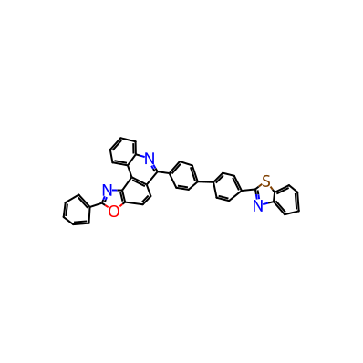 c1ccc(-c2nc3c(ccc4c(-c5ccc(-c6ccc(-c7nc8ccccc8s7)cc6)cc5)nc5ccccc5c43)o2)cc1